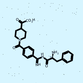 N=C(NC(=O)[C@@H](N)Cc1ccccc1)c1ccc(C(=O)N2CCC(C(=O)C(=O)O)CC2)cc1